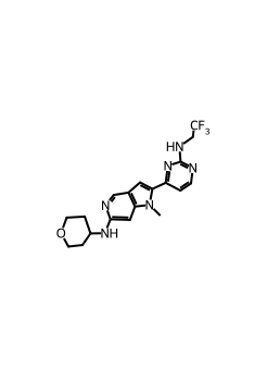 Cn1c(-c2ccnc(NCC(F)(F)F)n2)cc2cnc(NC3CCOCC3)cc21